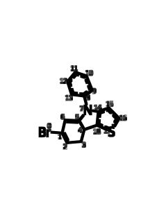 BrC1=CCC2C(=C1)N(c1ccccc1)c1ccsc12